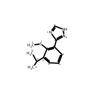 CSc1c(-c2nc[nH]n2)cccc1C(C)C